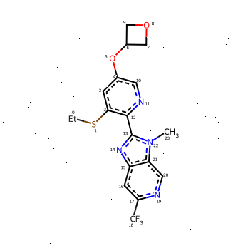 CCSc1cc(OC2COC2)cnc1-c1nc2cc(C(F)(F)F)ncc2n1C